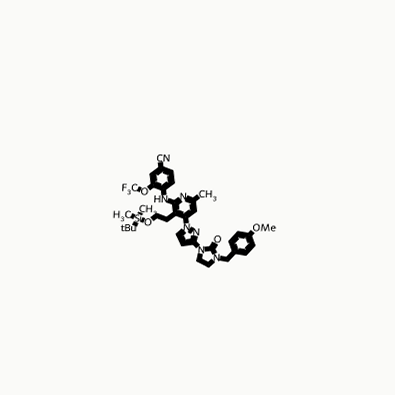 COc1ccc(CN2CCN(c3ccn(-c4cc(C)nc(Nc5ccc(C#N)cc5OC(F)(F)F)c4CCO[Si](C)(C)C(C)(C)C)n3)C2=O)cc1